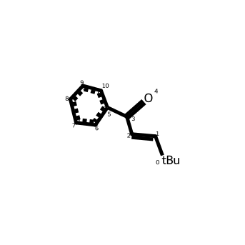 CC(C)(C)/C=C/C(=O)c1ccccc1